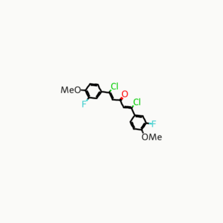 COc1ccc(C(Cl)=CC(=O)C=C(Cl)c2ccc(OC)c(F)c2)cc1F